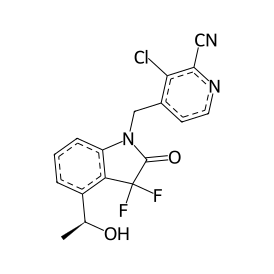 C[C@H](O)c1cccc2c1C(F)(F)C(=O)N2Cc1ccnc(C#N)c1Cl